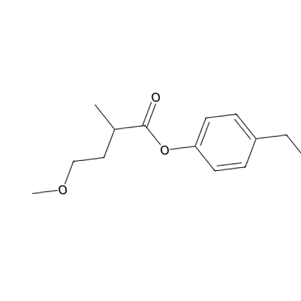 CCc1ccc(OC(=O)C(C)CCOC)cc1